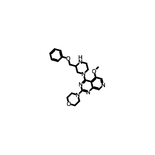 COc1cncc2nc(N3CCOCC3)nc(N3CCNC(COc4ccccc4)C3)c12